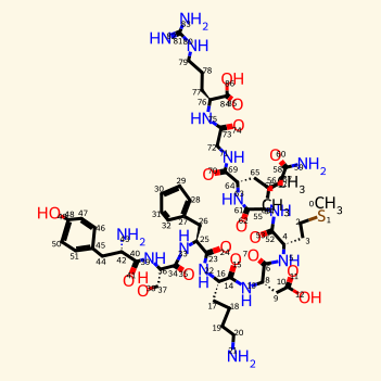 CSCC[C@H](NC(=O)[C@H](CC(=O)O)NC(=O)[C@H](CCCCN)NC(=O)[C@H](Cc1ccccc1)NC(=O)[C@H](CO)NC(=O)[C@@H](N)Cc1ccc(O)cc1)C(=O)N[C@@H](CCC(N)=O)C(=O)N[C@@H](CC(C)C)C(=O)NCC(=O)N[C@@H](CCCNC(=N)N)C(=O)O